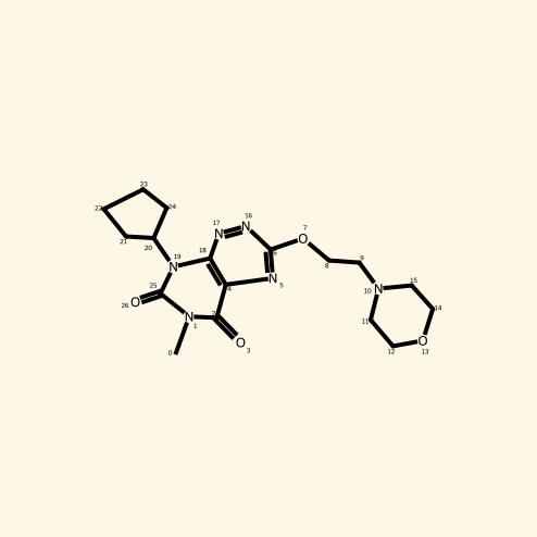 Cn1c(=O)c2nc(OCCN3CCOCC3)nnc2n(C2CCCC2)c1=O